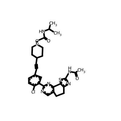 CC(=O)Nc1nc2c(s1)-c1nc(-c3cc(C#CC4CCN(OC(=O)NC(C)C)CC4)ccc3Cl)ncc1CC2